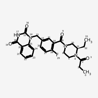 CCC(=O)N1CCN(C(=O)c2cc(Cn3c(=O)[nH]c(=O)c4ccccc43)ccc2F)C[C@H]1CC